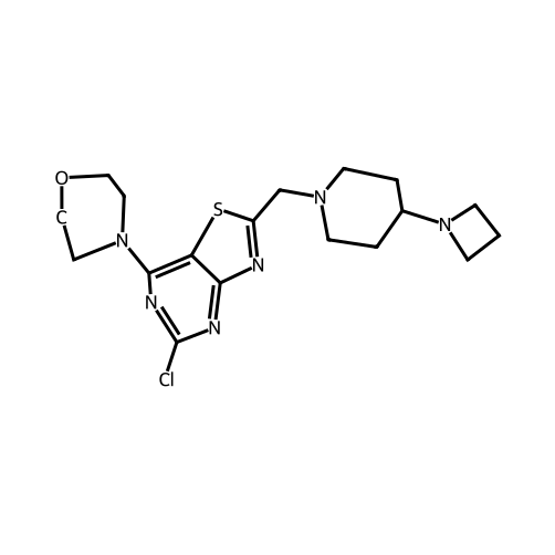 Clc1nc(N2CCOCC2)c2sc(CN3CCC(N4CCC4)CC3)nc2n1